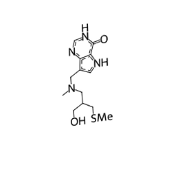 CSCC(CO)CN(C)Cc1c[nH]c2c(=O)[nH]cnc12